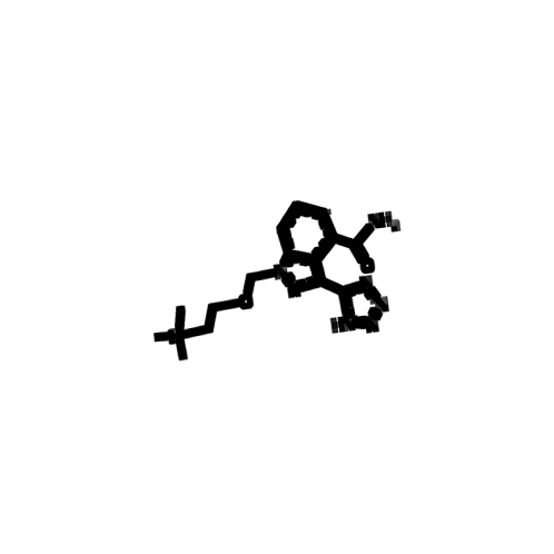 C[Si](C)(C)CCOCn1nc(-c2nnn[nH]2)c2c(C(N)=O)[c]ccc21